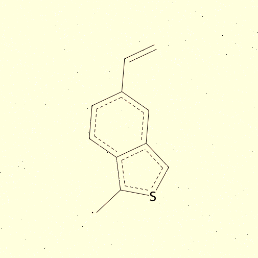 [CH2]c1scc2cc(C=C)ccc12